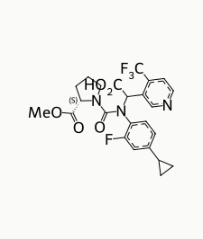 COC(=O)[C@@H]1CCCN1C(=O)N(c1ccc(C2CC2)cc1F)C(C(=O)O)c1cnccc1C(F)(F)F